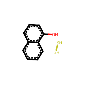 Oc1cccc2ccccc12.SS